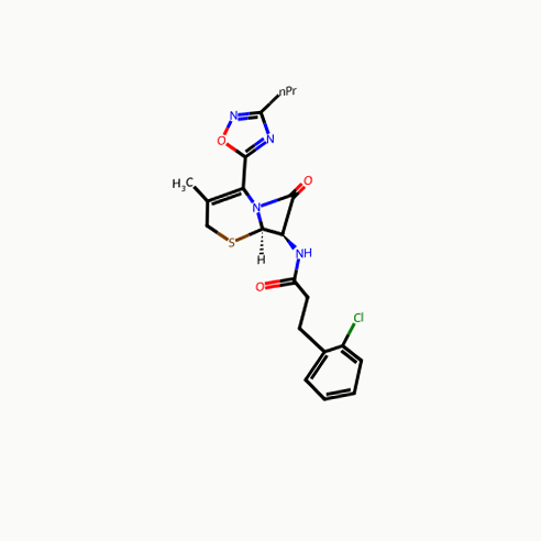 CCCc1noc(C2=C(C)CS[C@@H]3[C@H](NC(=O)CCc4ccccc4Cl)C(=O)N23)n1